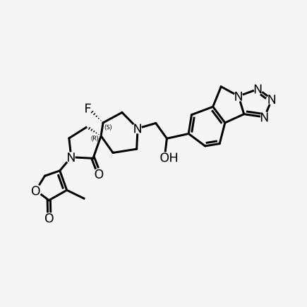 CC1=C(N2CC[C@]3(CCN(CC(O)c4ccc5c(c4)Cn4nnnc4-5)C[C@H]3F)C2=O)COC1=O